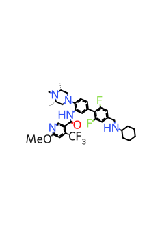 COc1cc(C(F)(F)F)c(C(=O)Nc2cc(-c3c(F)cc(CNC4CCCCC4)cc3F)ccc2N2C[C@@H](C)N(C)[C@@H](C)C2)cn1